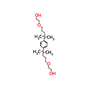 CS(C)(CCCOCCO)c1ccc(S(C)(C)CCCOCCO)cc1